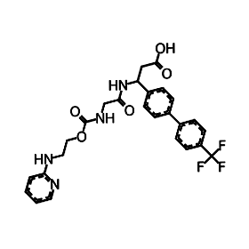 O=C(O)CC(NC(=O)CNC(=O)OCCNc1ccccn1)c1ccc(-c2ccc(C(F)(F)F)cc2)cc1